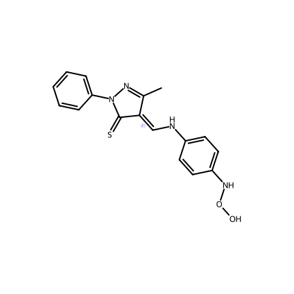 CC1=NN(c2ccccc2)C(=S)/C1=C/Nc1ccc(NOO)cc1